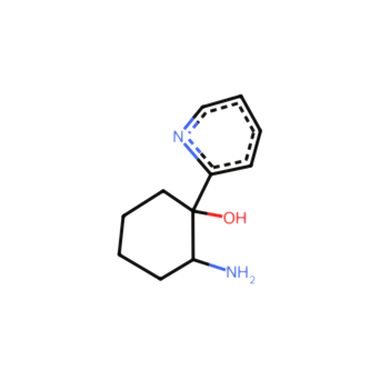 NC1CCCCC1(O)c1ccccn1